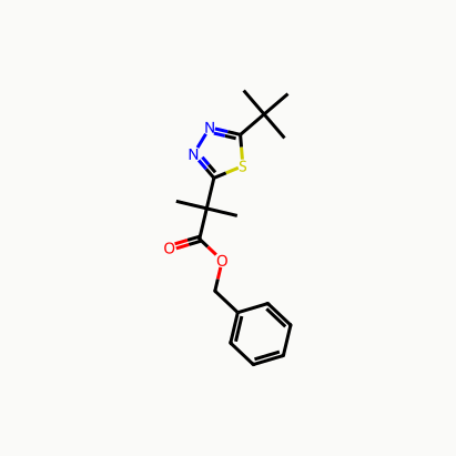 CC(C)(C)c1nnc(C(C)(C)C(=O)OCc2ccccc2)s1